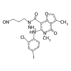 Cc1coc2c(C(=O)N(N)CCCN=O)c(Nc3ccc(I)cc3Cl)n(C)c(=O)c12